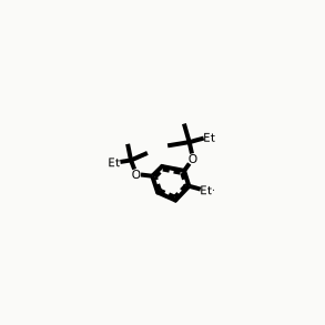 C[CH]c1ccc(OC(C)(C)CC)cc1OC(C)(C)CC